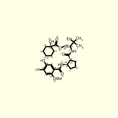 CCC(C)(C)CNC(=O)[C@H]1CCC[C@H]1NC(=O)c1cc(O[C@H]2CC[C@@](C)(C(=O)OC(C)(C)C)CC2)c(F)cc1OC